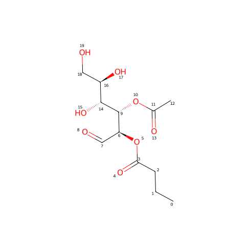 CCCC(=O)O[C@@H](C=O)[C@@H](OC(C)=O)[C@H](O)[C@H](O)CO